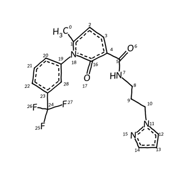 Cc1ccc(C(=O)NCCCn2cccn2)c(=O)n1-c1cccc(C(F)(F)F)c1